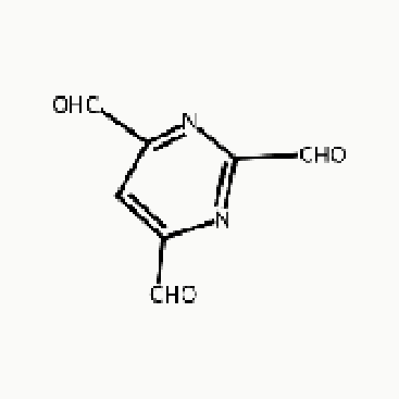 O=Cc1cc(C=O)nc(C=O)n1